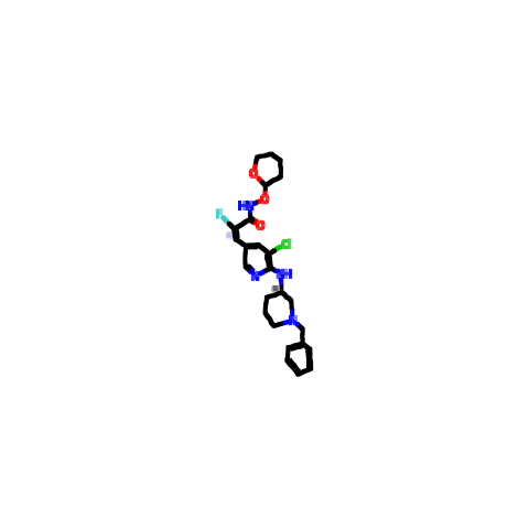 O=C(NOC1CCCCO1)/C(F)=C\c1cnc(N[C@@H]2CCCN(Cc3ccccc3)C2)c(Cl)c1